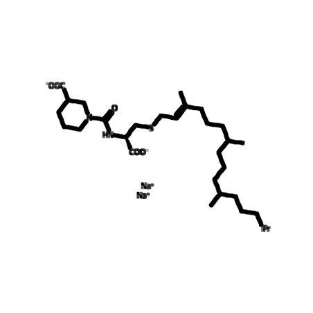 C/C(=C\CSC[C@H](NC(=O)N1CCCC(C(=O)[O-])C1)C(=O)[O-])CCCC(C)CCCC(C)CCCC(C)C.[Na+].[Na+]